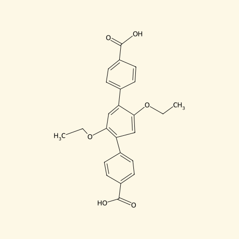 CCOc1cc(-c2ccc(C(=O)O)cc2)c(OCC)cc1-c1ccc(C(=O)O)cc1